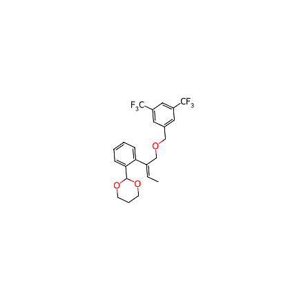 CC=C(COCc1cc(C(F)(F)F)cc(C(F)(F)F)c1)c1ccccc1C1OCCCO1